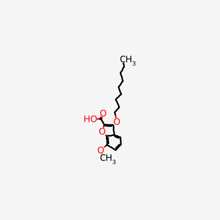 CCCCCCCCCOc1c(C(=O)O)oc2c(OC)cccc12